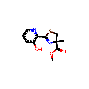 COC(=O)C1(C)CSC(c2ncccc2O)=N1